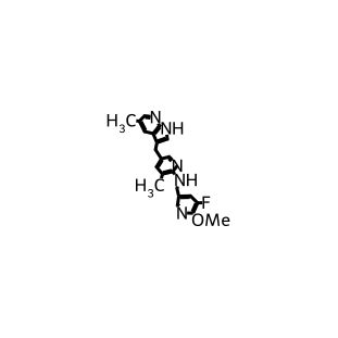 COc1ncc(CNc2ncc(Cc3c[nH]c4ncc(C)cc34)cc2C)cc1F